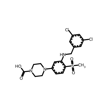 CS(=O)(=O)c1ccc(N2CCN(C(=O)O)CC2)cc1NCc1cc(Cl)cc(Cl)c1